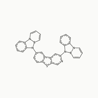 C1=CB2N(C=C1)c1ccccc1N2c1ccc2sc3cnc(N4B5C=CC=CN5c5ccccc54)cc3c2c1